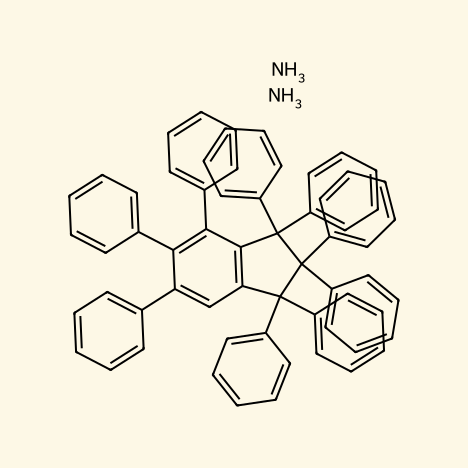 N.N.c1ccc(-c2cc3c(c(-c4ccccc4)c2-c2ccccc2)C(c2ccccc2)(c2ccccc2)C(c2ccccc2)(c2ccccc2)C3(c2ccccc2)c2ccccc2)cc1